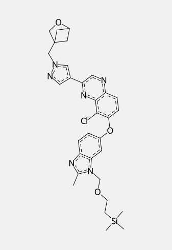 Cc1nc2ccc(Oc3ccc4ncc(-c5cnn(CC67COC(C6)C7)c5)nc4c3Cl)cc2n1COCC[Si](C)(C)C